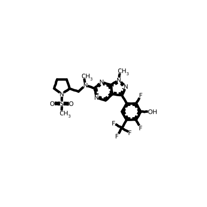 CN(CC1CCCN1S(C)(=O)=O)c1ncc2c(-c3cc(C(F)(F)F)c(F)c(O)c3F)nn(C)c2n1